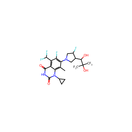 Cc1c(N2CC(F)C(C(O)C(O)(C(F)(F)F)C(F)(F)F)C2)c(F)c(C(F)F)c2c(=O)[nH]c(=O)n(C3CC3)c12